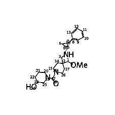 COCC1(CN[C@@H]2C[C@H]2c2ccccc2)CCN(C(=O)N2CCCC(O)C2)CC1